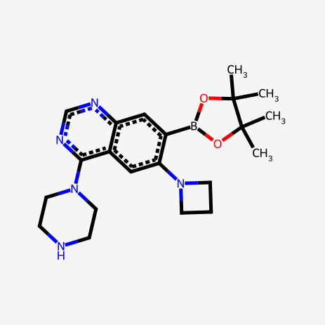 CC1(C)OB(c2cc3ncnc(N4CCNCC4)c3cc2N2CCC2)OC1(C)C